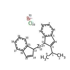 CC(C)C1=Cc2ccccc2[CH]1[Zr+2][CH]1C=Cc2ccccc21.[Br-].[Cl-]